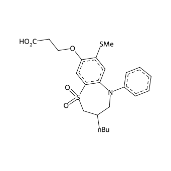 CCCCC1CN(c2ccccc2)c2cc(SC)c(OCCC(=O)O)cc2S(=O)(=O)C1